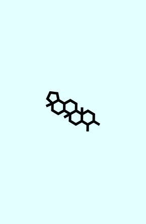 CC1CCC2(C)C(CCC3(C)C4CCC5(C)CCCC5C4CCC23)C1C